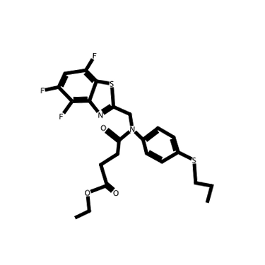 CCCSc1ccc(N(Cc2nc3c(F)c(F)cc(F)c3s2)C(=O)CCC(=O)OCC)cc1